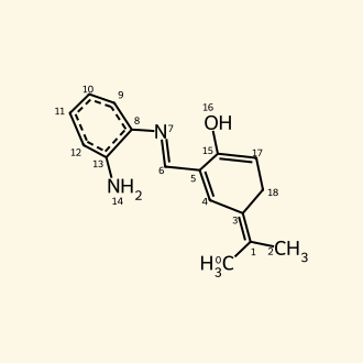 CC(C)=C1C=C(C=Nc2ccccc2N)C(O)=CC1